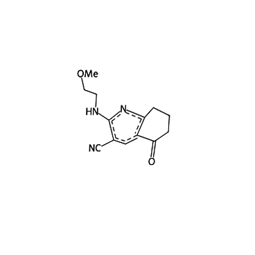 COCCNc1nc2c(cc1C#N)C(=O)CCC2